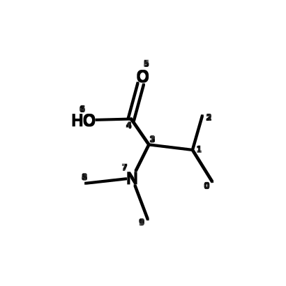 CC(C)C(C(=O)O)N(C)C